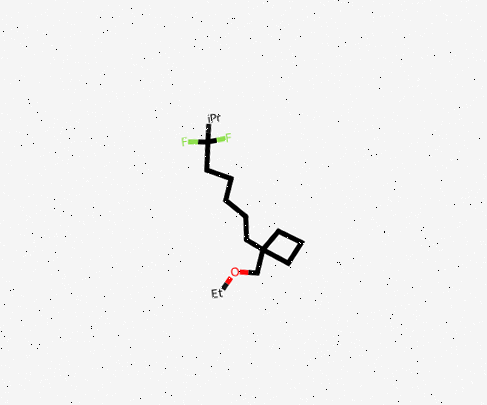 CCOCC1(CCCCCC(F)(F)C(C)C)CCC1